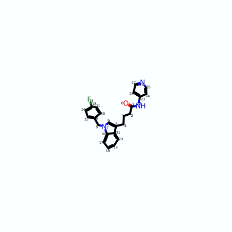 O=C(CCCc1cn(Cc2ccc(F)cc2)c2ccccc12)Nc1ccncc1